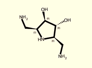 NC[C@@H]1N[C@H](CN)[C@@H](O)[C@@H]1O